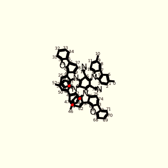 Cc1ccc2c(c1)c1cc(C)ccc1n2-c1c(C#N)c(-n2c3ccccc3c3c4oc5ccccc5c4ccc32)c(-n2c3ccc(C)cc3c3cc(C)ccc32)c(-n2c3ccccc3c3c4oc5ccccc5c4ccc32)c1C#N